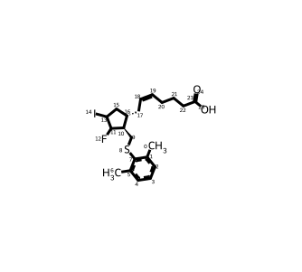 Cc1cccc(C)c1SC[C@H]1C(F)C(I)C[C@@H]1C/C=C\CCCC(=O)O